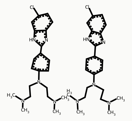 CN(C)CCN(CCN(C)C)c1ccc(-c2nc3ccc(Cl)cc3[nH]2)cc1.CN(C)CCN(CCN(C)C)c1ccc(-c2nc3ccc(Cl)cc3[nH]2)cc1